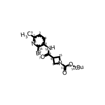 Cc1ccc(NC(=O)C2CN(C(=O)OC(C)(C)C)C2)c(Br)n1